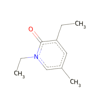 CCc1cc(C)cn(CC)c1=O